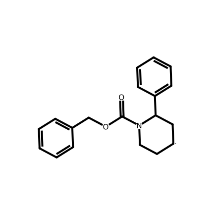 O=C(OCc1ccccc1)N1CC[CH]CC1c1ccccc1